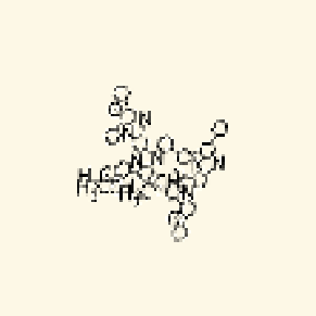 CC(C)(C)c1ccc2c(c1)c1cc(C(C)(C)Cc3ccc4c(c3)c3c5oc6ccccc6c5ccc3n4-c3ccc(C#N)c(-n4c5ccc(-c6ccccc6)cc5c5cc(-c6ccccc6)ccc54)c3C#N)ccc1n2-c1cc(-n2c3ccccc3c3c4oc5ccccc5c4ccc32)c(C#N)cc1C#N